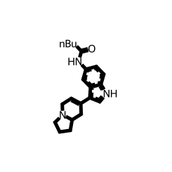 CCCCC(=O)Nc1ccc2[nH]cc(C3=CCN4CCCC4C3)c2c1